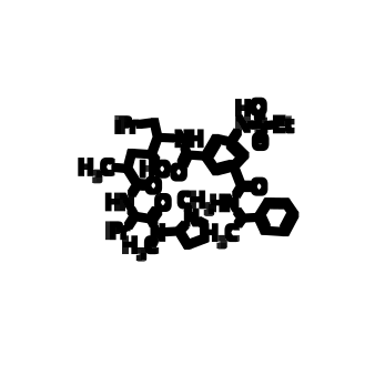 CCS(=O)(=O)Nc1cc(C(=O)NC(C)c2ccccc2)cc(C(=O)NC(CC(C)C)C(O)CC(C)C(=O)NC(C(=O)N(C)C2CCCN2C)C(C)C)c1